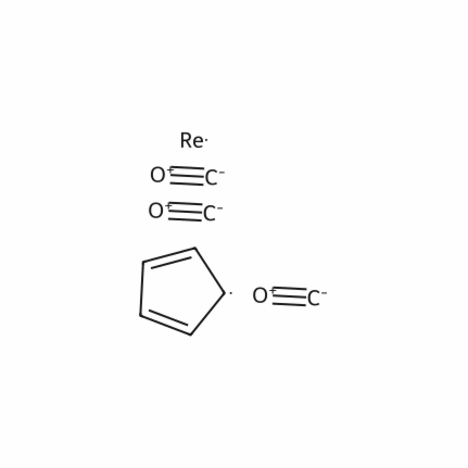 [C-]#[O+].[C-]#[O+].[C-]#[O+].[CH]1C=CC=C1.[Re]